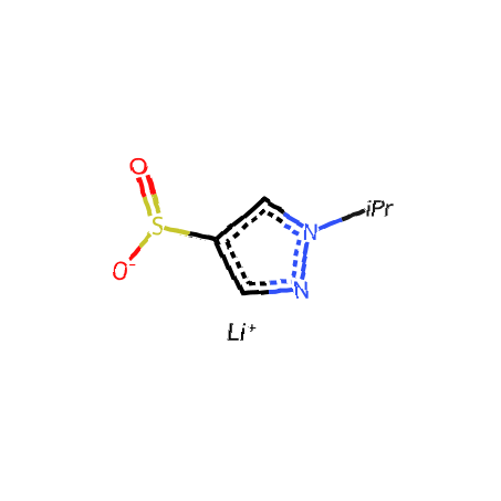 CC(C)n1cc(S(=O)[O-])cn1.[Li+]